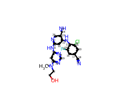 CN(CCO)c1cc(Nc2cc(Nc3c(F)cc(C#N)cc3Cl)c(C=N)cn2)ncn1